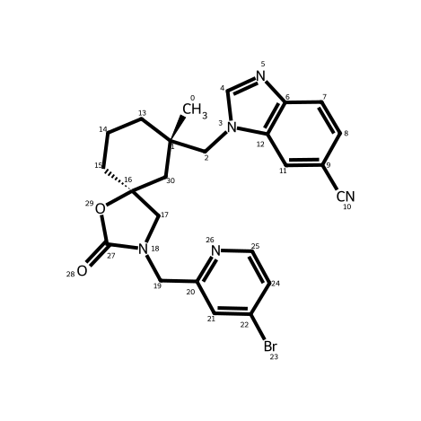 C[C@]1(Cn2cnc3ccc(C#N)cc32)CCC[C@@]2(CN(Cc3cc(Br)ccn3)C(=O)O2)C1